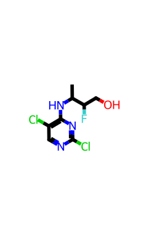 CC(Nc1nc(Cl)ncc1Cl)C(F)CO